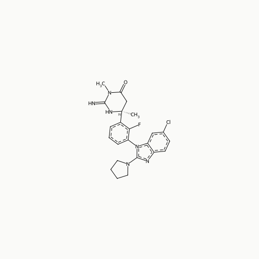 CN1C(=N)N[C@](C)(c2cccc(-n3c(N4CCCC4)nc4ccc(Cl)cc43)c2F)CC1=O